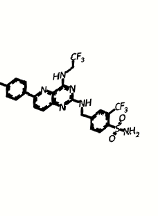 NS(=O)(=O)c1ccc(CNc2nc(NCC(F)(F)F)c3nc(-c4ccc(F)cc4)ccc3n2)cc1C(F)(F)F